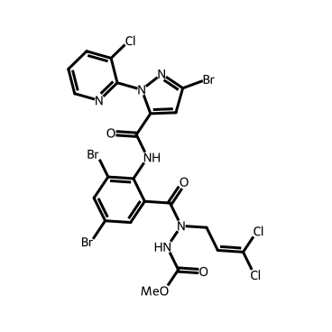 COC(=O)NN(CC=C(Cl)Cl)C(=O)c1cc(Br)cc(Br)c1NC(=O)c1cc(Br)nn1-c1ncccc1Cl